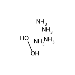 N.N.N.N.OO